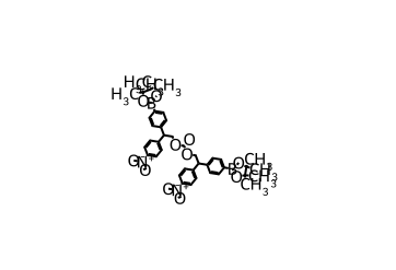 CC1(C)OB(c2ccc(C(COC(=O)OCC(c3ccc(B4OC(C)(C)C(C)(C)O4)cc3)c3ccc([N+](=O)[O-])cc3)c3ccc([N+](=O)[O-])cc3)cc2)OC1(C)C